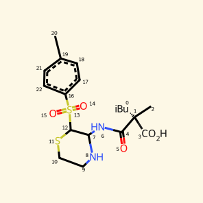 CC[C@@H](C)C(C)(C(=O)O)C(=O)NC1NCCSC1S(=O)(=O)c1ccc(C)cc1